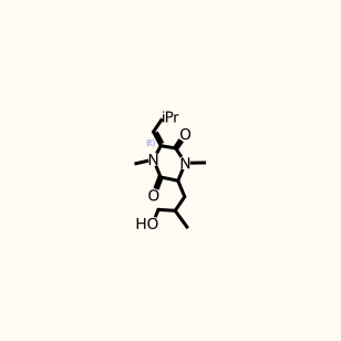 CC(C)/C=C1\C(=O)N(C)C(CC(C)CO)C(=O)N1C